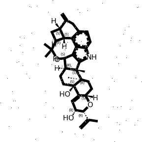 C=C1Cc2ccc3[nH]c4c5c3c2[C@H]2[C@@H]1C[C@H]2C(C)(C)O[C@H]5[C@@H]1CC[C@@]2(O)C3=C[C@@H](O)[C@@H](C(=C)C)O[C@H]3CC[C@]2(C)[C@@]41C